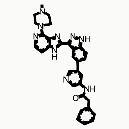 CN1CCN(c2nccc3[nH]c(-c4n[nH]c5ccc(-c6cncc(NC(=O)Cc7ccccc7)c6)cc45)nc23)CC1